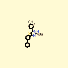 CCC(C)C1=Nc2c(sc3ccc(-c4ccccc4)cc23)C(C2=CCC(C)C=C2)N1